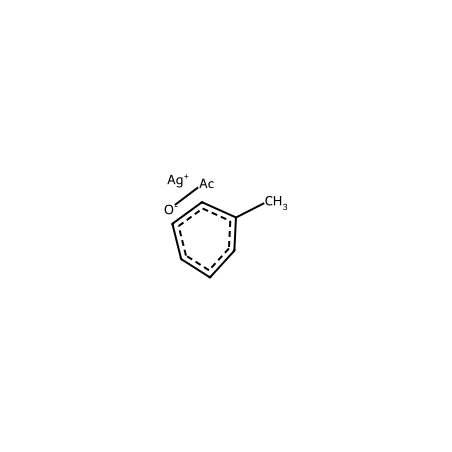 CC(=O)[O-].Cc1ccccc1.[Ag+]